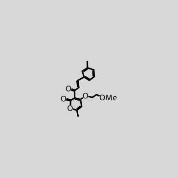 COCCOc1cc(C)oc(=O)c1C(=O)/C=C/c1cccc(C)c1